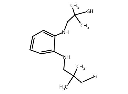 CCSC(C)(C)CNc1ccccc1NCC(C)(C)S